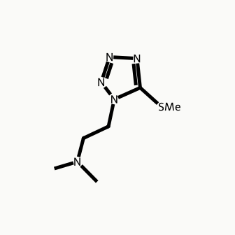 [CH2]Sc1nnnn1CCN(C)C